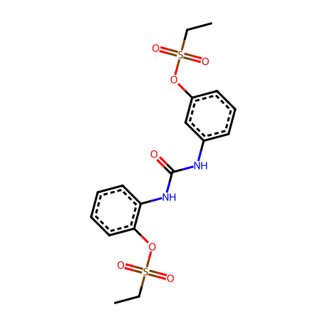 CCS(=O)(=O)Oc1cccc(NC(=O)Nc2ccccc2OS(=O)(=O)CC)c1